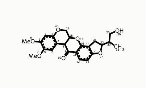 COc1cc2c(cc1OC)C1C(=O)c3ccc4c(c3OC1CO2)CC(C(C)CO)O4